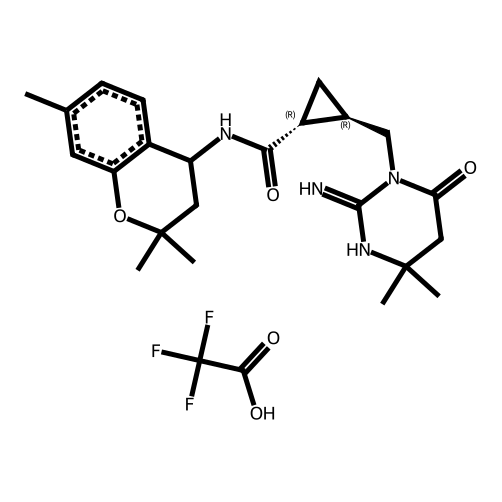 Cc1ccc2c(c1)OC(C)(C)CC2NC(=O)[C@@H]1C[C@H]1CN1C(=N)NC(C)(C)CC1=O.O=C(O)C(F)(F)F